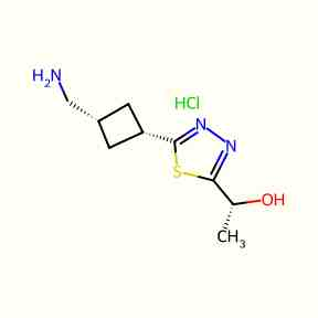 C[C@@H](O)c1nnc([C@H]2C[C@@H](CN)C2)s1.Cl